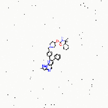 Cc1cc2ncc3cc(-c4ccccc4)c(-c4ccc(CN5CCC(OC(=O)N[C@@H](C)C6CCCCC6)CC5)cc4)nc3n2n1